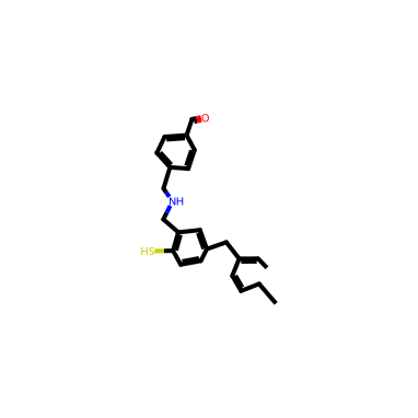 C/C=C(\C=C/CC)Cc1ccc(S)c(CNCc2ccc(C=O)cc2)c1